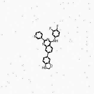 Fc1ccc(Nc2nc(-c3cccnc3)nc3cc(-c4ccc5c(c4)OCB5)ccc23)cc1F